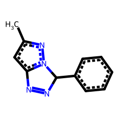 Cc1cc2n(n1)C(c1ccccc1)N=N2